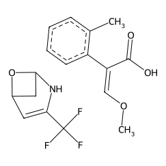 COC=C(C(=O)O)c1ccccc1C.FC(F)(F)C1=CC2CC(N1)O2